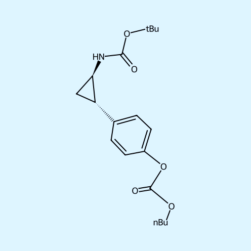 CCCCOC(=O)Oc1ccc([C@@H]2C[C@H]2NC(=O)OC(C)(C)C)cc1